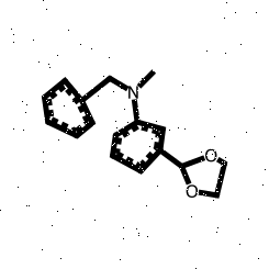 CN(Cc1ccccc1)c1cccc(C2OCCO2)c1